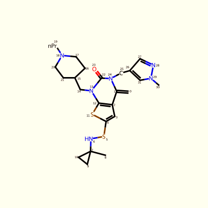 C=C1c2cc(SNC3(C)CC3)sc2N(CC2CCN(CCC)CC2)C(=O)N1Cc1cnn(C)c1